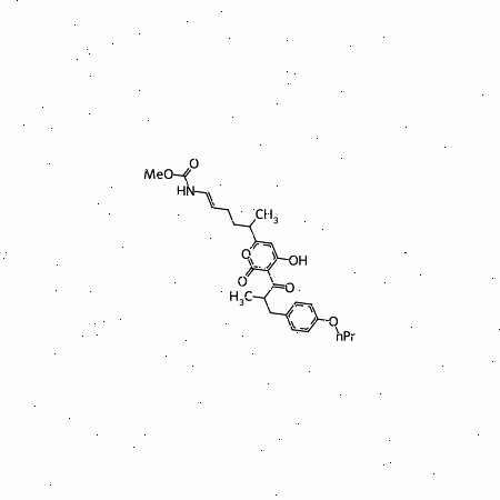 CCCOc1ccc(CC(C)C(=O)c2c(O)cc(C(C)CC/C=C/NC(=O)OC)oc2=O)cc1